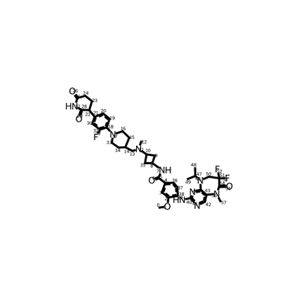 COc1cc(C(=O)NC2CC(N(C)CC3CCN(c4ccc(C5CCC(=O)NC5=O)cc4F)CC3)C2)ccc1Nc1ncc2c(n1)N(C(C)C)CC(F)(F)C(=O)N2C